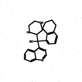 N#CC(c1cccc2c1CCCC2)(c1ncnc2ccccc12)C1CNCCN1